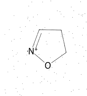 C1=[N+]OCC1